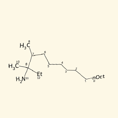 CCCCCCCCCCCCCCC(C)C(C)(N)CC